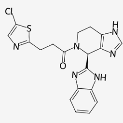 O=C(CCc1ncc(Cl)s1)N1CCc2[nH]cnc2[C@H]1c1nc2ccccc2[nH]1